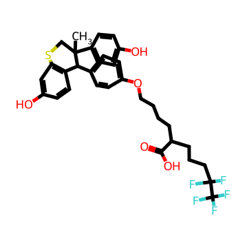 CC1(c2ccc(O)cc2)CSc2cc(O)ccc2C1c1ccc(OCCCCC(CCCC(F)(F)C(F)(F)F)C(=O)O)cc1